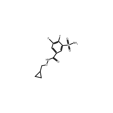 NS(=O)(=O)c1cc(C(=O)NOCC2CC2)cc(F)c1F